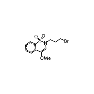 COC1=CN(CCCBr)S(=O)(=O)c2ccccc21